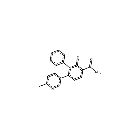 Cc1ccc(-c2ccc(C(N)=O)c(=O)n2-c2ccccc2)cn1